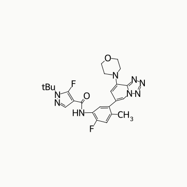 Cc1cc(F)c(NC(=O)c2cnn(C(C)(C)C)c2F)cc1-c1cc(N2CCOCC2)c2nnnn2c1